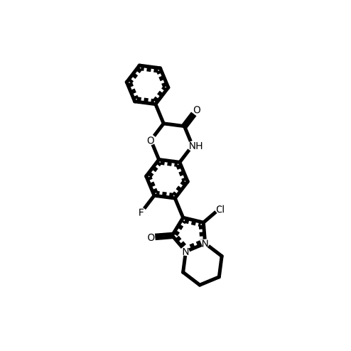 O=C1Nc2cc(-c3c(Cl)n4n(c3=O)CCCC4)c(F)cc2OC1c1ccccc1